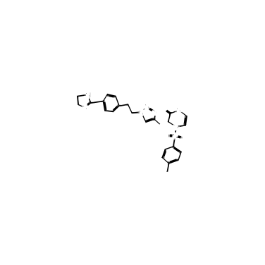 Cc1ccc(S(=O)(=O)N2C=CNC(=O)[C@H]2Cc2cn(CCc3ccc(C4=NCCN4)cc3)nn2)cc1